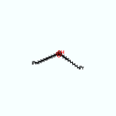 CC(C)CCCCCCCCCCCCCCCOP(=O)(O)OCCCCCCCCCCCCCCCC(C)C